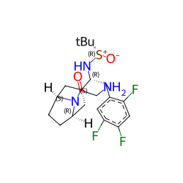 CC(C)(C)[S@+]([O-])N[C@H](Cc1cc(F)c(F)cc1F)[C@@H]1C[C@H]2CC[C@@H](C1)N2C(=O)CN